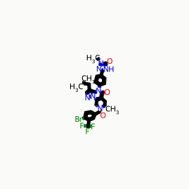 CC(C)Cc1cnn2c3c(c(=O)n(-c4ccc(-c5nn(C)c(=O)[nH]5)cc4)c12)CC(C)N(C(=O)c1ccc(Br)c(C(F)(F)F)c1)C3